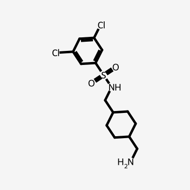 NCC1CCC(CNS(=O)(=O)c2cc(Cl)cc(Cl)c2)CC1